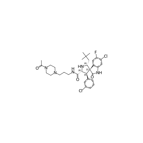 CC(=O)N1CCN(CCCNC(=O)[C@@H]2N[C@H](CC(C)(C)C)[C@]3(C(=O)Nc4cc(Cl)c(F)cc43)[C@H]2c2cccc(Cl)c2)CC1